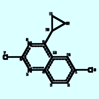 Clc1ccc2nc(Cl)nc(C3CC3)c2c1